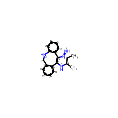 CCC(C)N/C1=C(\N=N)c2ccccc2NCc2ccccc21